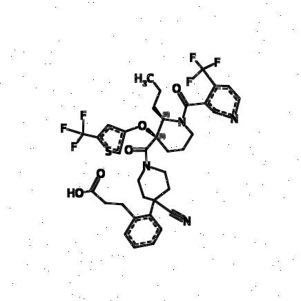 CCC[C@H]1N(C(=O)c2cnccc2C(F)(F)F)CCC[C@]1(Oc1csc(C(F)(F)F)c1)C(=O)N1CCC(C#N)(c2ccccc2CCC(=O)O)CC1